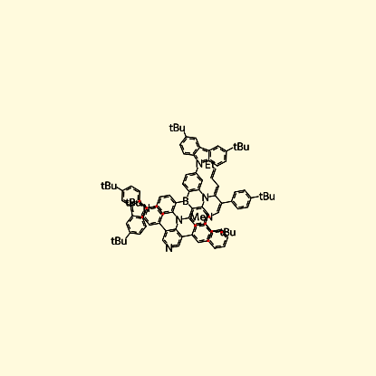 CC/C=C/C=C(/C(=C\NC)c1ccc(C(C)(C)C)cc1)N1c2cc(-n3c4ccc(C(C)(C)C)cc4c4cc(C(C)(C)C)ccc43)ccc2B2c3ccc(-n4c5ccc(C(C)(C)C)cc5c5cc(C(C)(C)C)ccc54)cc3N(c3c(-c4ccc(C(C)(C)C)cc4)cncc3-c3ccc(C(C)(C)C)cc3)c3cc(-c4ccccc4)cc1c32